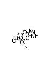 CCOC(=O)c1[nH]nnc1Oc1ccc(Cl)c(OCC2CC2)c1